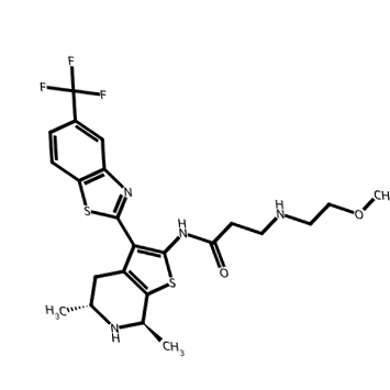 COCCNCCC(=O)Nc1sc2c(c1-c1nc3cc(C(F)(F)F)ccc3s1)C[C@@H](C)N[C@@H]2C